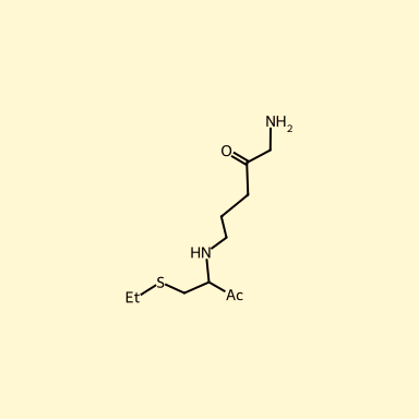 CCSCC(NCCCC(=O)CN)C(C)=O